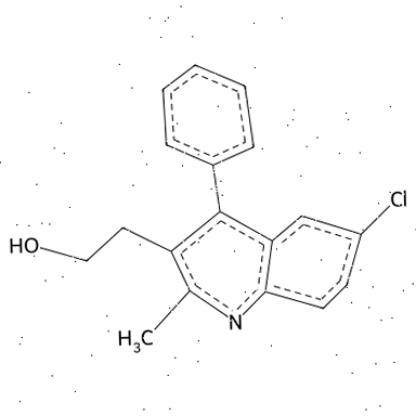 Cc1nc2ccc(Cl)cc2c(-c2ccccc2)c1CCO